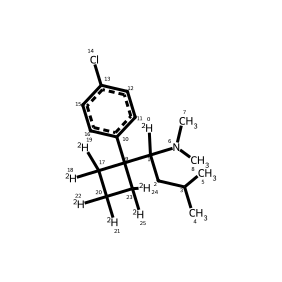 [2H]C(CC(C)C)(N(C)C)C1(c2ccc(Cl)cc2)C([2H])([2H])C([2H])([2H])C1([2H])[2H]